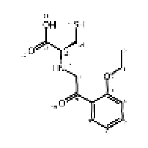 CCOc1ccccc1C(=O)CN[C@H](CS)C(=O)O